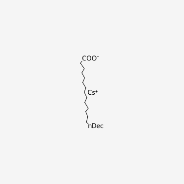 CCCCCCCCCCCCCCCCCCCCCCCC(=O)[O-].[Cs+]